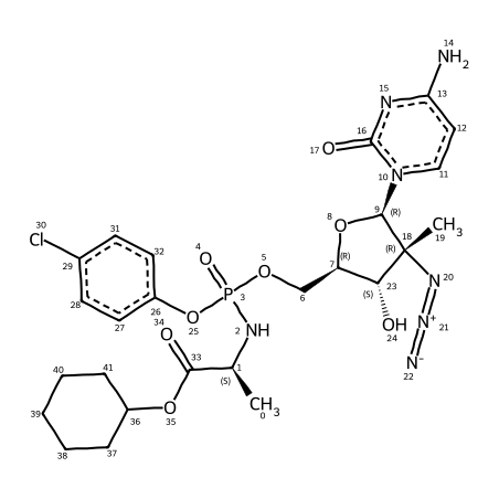 C[C@H](NP(=O)(OC[C@H]1O[C@@H](n2ccc(N)nc2=O)[C@](C)(N=[N+]=[N-])[C@@H]1O)Oc1ccc(Cl)cc1)C(=O)OC1CCCCC1